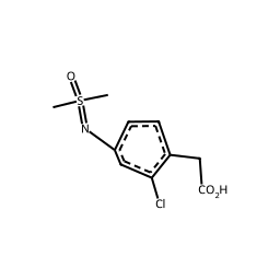 CS(C)(=O)=Nc1ccc(CC(=O)O)c(Cl)c1